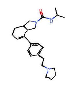 CC(C)NC(=O)N1CC2CCC=C(c3ccc(CCN4CCCC4)cc3)C2C1